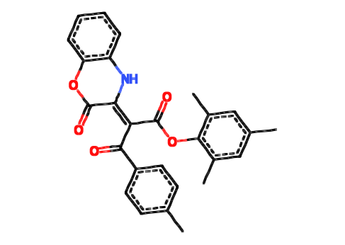 Cc1ccc(C(=O)C(C(=O)Oc2c(C)cc(C)cc2C)=C2Nc3ccccc3OC2=O)cc1